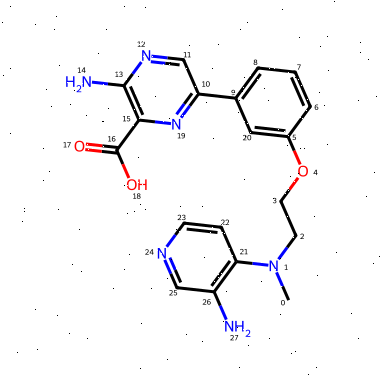 CN(CCOc1cccc(-c2cnc(N)c(C(=O)O)n2)c1)c1ccncc1N